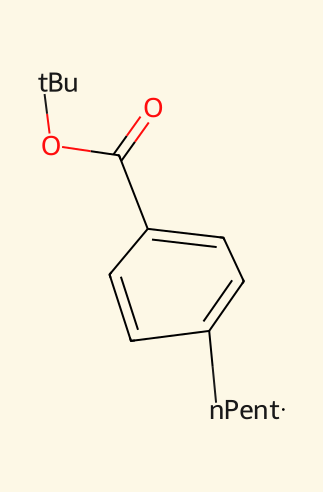 [CH2]CCC[CH]c1ccc(C(=O)OC(C)(C)C)cc1